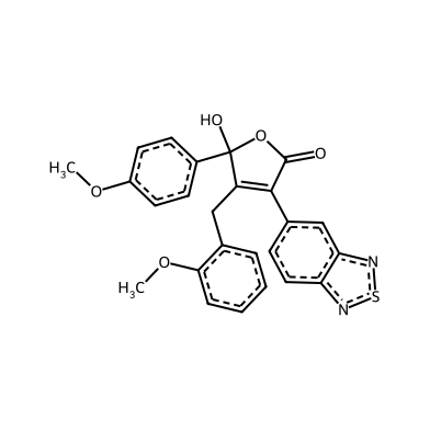 COc1ccc(C2(O)OC(=O)C(c3ccc4nsnc4c3)=C2Cc2ccccc2OC)cc1